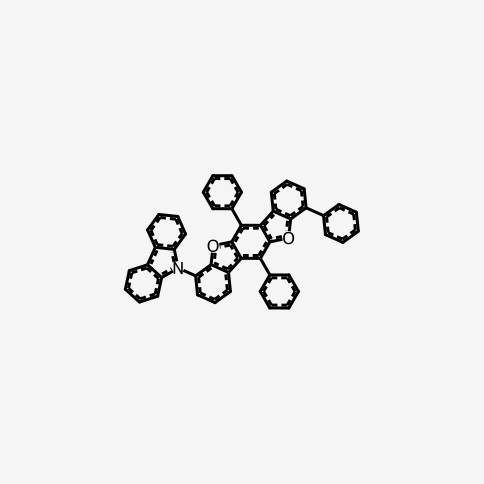 c1ccc(-c2cccc3c2oc2c(-c4ccccc4)c4c(oc5c(-n6c7ccccc7c7ccccc76)cccc54)c(-c4ccccc4)c23)cc1